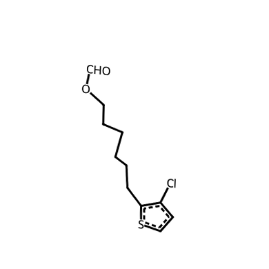 O=COCCCCCCc1sccc1Cl